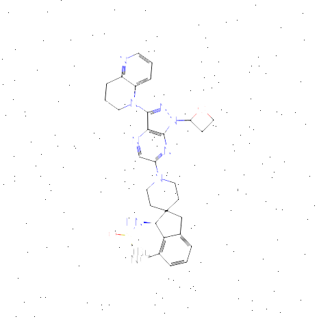 CC(C)(C)[S@@+]([O-])N[C@@H]1c2c(C#N)cccc2CC12CCN(c1cnc3c(N4CCCc5ncccc54)nn(C4CCO4)c3n1)CC2